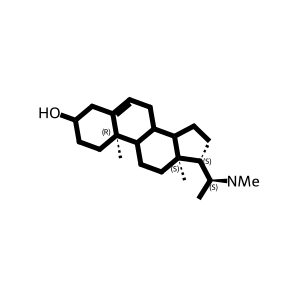 CN[C@@H](C)[C@H]1CCC2C3CC=C4CC(O)CC[C@]4(C)C3CC[C@@]21C